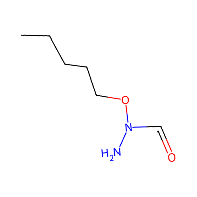 CCCCCON(N)C=O